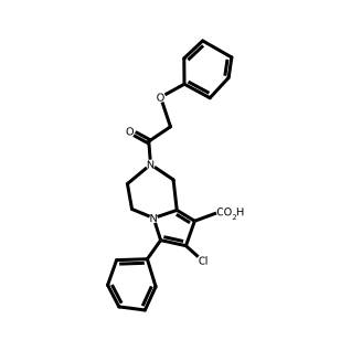 O=C(O)c1c(Cl)c(-c2ccccc2)n2c1CN(C(=O)COc1ccccc1)CC2